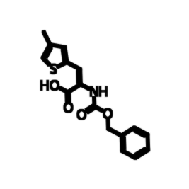 Cc1csc(C=C(NC(=O)OCc2ccccc2)C(=O)O)c1